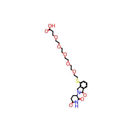 O=C(O)CCOCCOCCOCCOCCOCCSc1cccc2c1CN(C1CCC(=O)NC1=O)C2=O